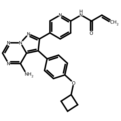 C=CC(=O)Nc1ccc(-c2nn3ncnc(N)c3c2-c2ccc(OC3CCC3)cc2)cn1